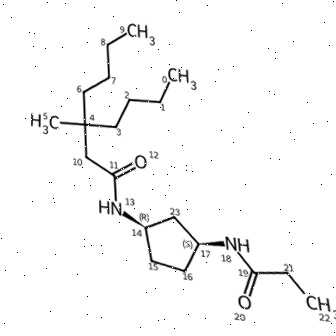 CCCCC(C)(CCCC)CC(=O)N[C@@H]1CC[C@H](NC(=O)CC)C1